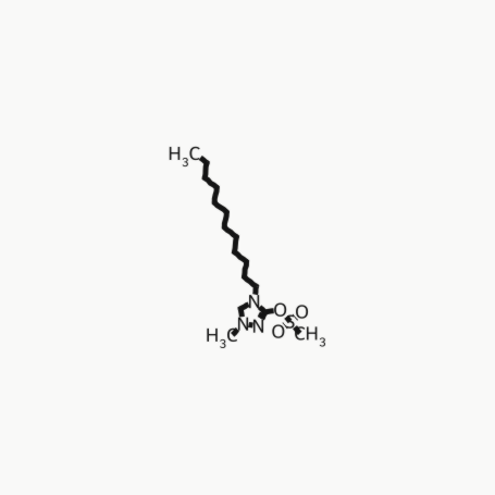 CCCCCCCCCCCCN1CN(C)N=C1OS(C)(=O)=O